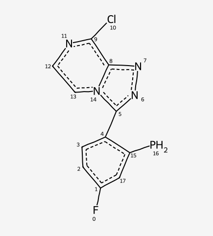 Fc1ccc(-c2nnc3c(Cl)nccn23)c(P)c1